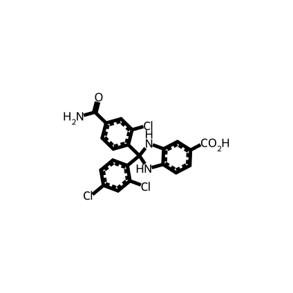 NC(=O)c1ccc(C2(c3ccc(Cl)cc3Cl)Nc3ccc(C(=O)O)cc3N2)c(Cl)c1